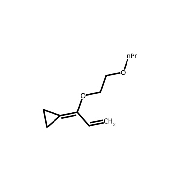 C=CC(OCCOCCC)=C1CC1